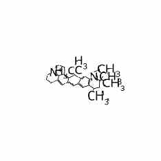 CCN1c2cc3c(cc2C(C)CC1(C)C)C=c1cc2c4c(c1C3(C)C)CCC[N+]=4CCC2